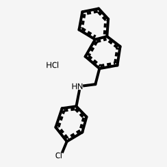 Cl.Clc1ccc(NCc2ccc3ccccc3c2)cc1